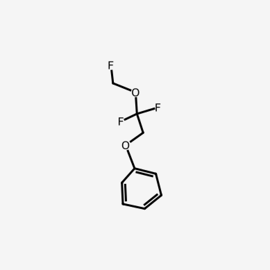 FCOC(F)(F)COc1ccccc1